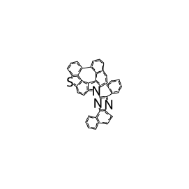 c1ccc(-c2nc3ccc4ccccc4c3nc2-n2c3ccc4cccc5c4c3c3c4c(ccc32)sc2cccc-5c24)cc1